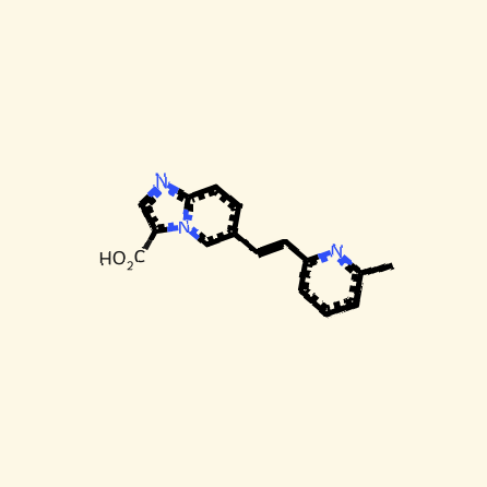 Cc1cccc(/C=C/c2ccc3ncc(C(=O)O)n3c2)n1